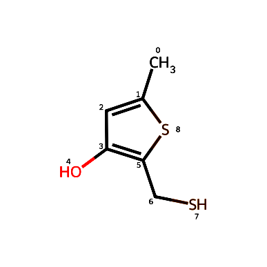 Cc1cc(O)c(CS)s1